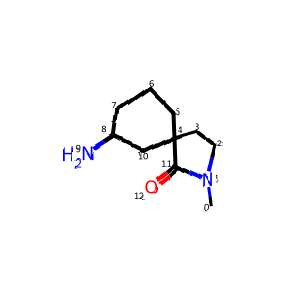 CN1CCC2(CCCC(N)C2)C1=O